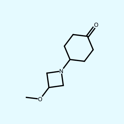 COC1CN(C2CCC(=O)CC2)C1